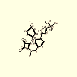 CN(Cc1ccc(-c2noc(C(F)(F)Cl)n2)cc1)c1c(Nc2ccc(F)cc2)c(=O)c1=O